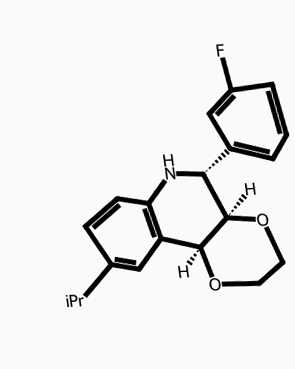 CC(C)c1ccc2c(c1)[C@@H]1OCCO[C@@H]1[C@@H](c1cccc(F)c1)N2